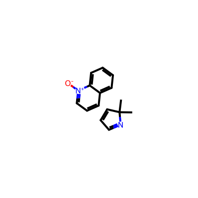 CC1(C)C=CC=N1.[O-][n+]1cccc2ccccc21